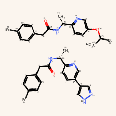 CC(C)c1ccc(CC(=O)N[C@H](C)c2ccc(-c3cn[nH]c3)cn2)cc1.CCC(Oc1ccc([C@@H](C)NC(=O)Cc2ccc(C(C)C)cc2)nc1)C(=O)O